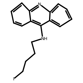 ICCCCNc1c2ccccc2nc2ccccc12